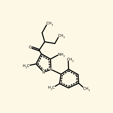 CCC(CC)C(=O)c1c(C)nn(-c2c(C)cc(C)cc2C)c1N